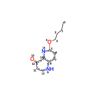 CCCCOc1ccc2[nH]ccc(=O)c2n1